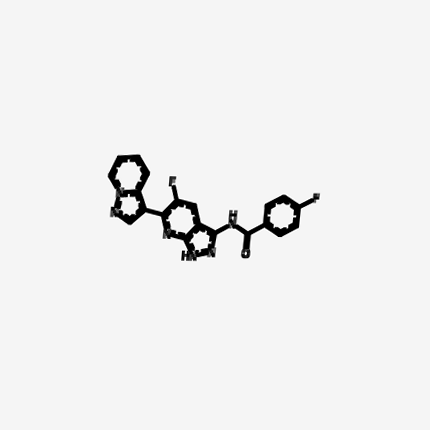 O=C(Nc1n[nH]c2nc(-c3cnn4ccccc34)c(F)cc12)c1ccc(F)cc1